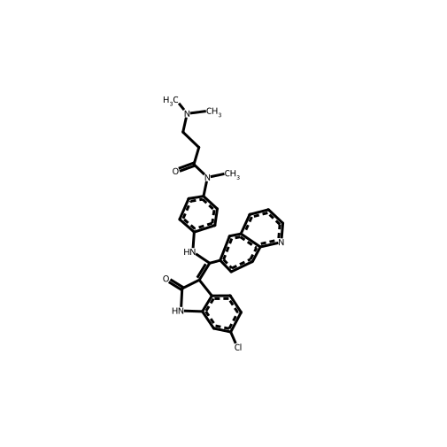 CN(C)CCC(=O)N(C)c1ccc(N/C(=C2\C(=O)Nc3cc(Cl)ccc32)c2ccc3ncccc3c2)cc1